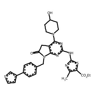 CCOC(=O)c1sc(Nc2nc(N3CCC(O)CC3)c3c(n2)N(Cc2ccc(-c4ccsc4)cc2)C(=O)C3)nc1C